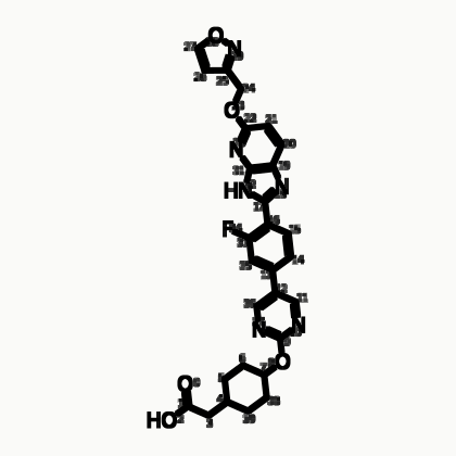 O=C(O)CC1CCC(Oc2ncc(-c3ccc(-c4nc5ccc(OCc6ccon6)nc5[nH]4)c(F)c3)cn2)CC1